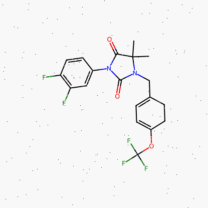 CC1(C)C(=O)N(c2ccc(F)c(F)c2)C(=O)N1CC1=CC=C(OC(F)(F)F)CC1